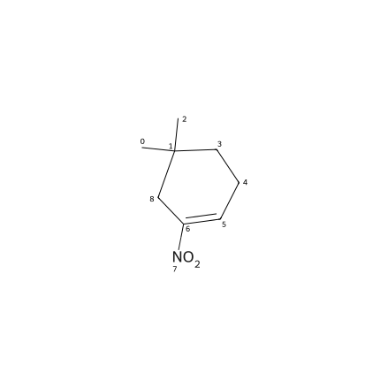 CC1(C)CCC=C([N+](=O)[O-])C1